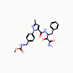 COC(=O)NCc1ccc(-n2nc(C)cc2C(=O)NC(Cc2ccccc2)C(=O)C(N)=O)cc1